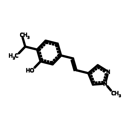 CC(C)c1ccc(/C=C/c2cnn(C)c2)cc1O